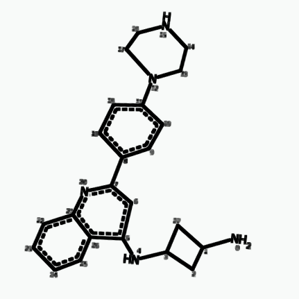 NC1CC(Nc2cc(-c3ccc(N4CCNCC4)cc3)nc3ccccc23)C1